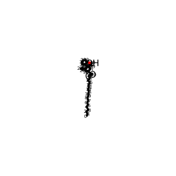 CCCCCCCCCCCCCCCCCCOC(=O)c1cc(C(C)(C)C)c(-c2ccccc2O)c(C(C)(C)C)c1